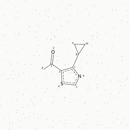 CC(=O)c1scnc1C1CC1